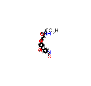 O=C=Nc1ccc(C(=O)c2ccc(OCCCC(=O)NCC(=O)O)cc2)cc1